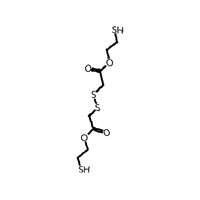 O=C(CSSCC(=O)OCCS)OCCS